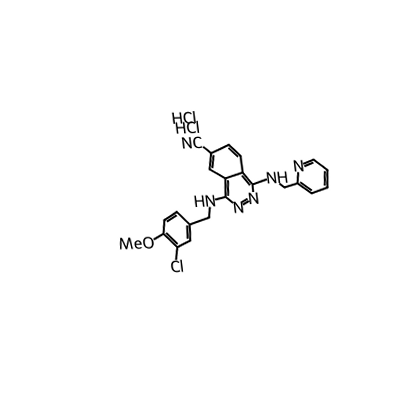 COc1ccc(CNc2nnc(NCc3ccccn3)c3ccc(C#N)cc23)cc1Cl.Cl.Cl